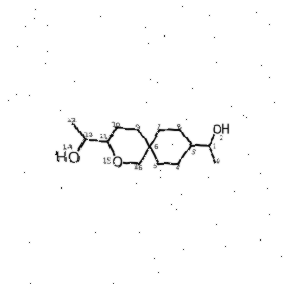 CC(O)C1CCC2(CC1)CCC(C(C)O)OC2